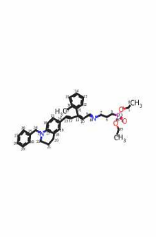 CCOP(=O)(CCC/N=C/C=C(/C=Cc1ccc2c(c1)CCCN2Cc1ccccc1)c1ccccc1C)OCC